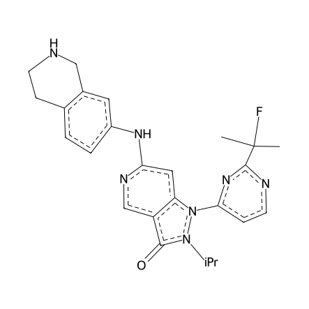 CC(C)n1c(=O)c2cnc(Nc3ccc4c(c3)CNCC4)cc2n1-c1ccnc(C(C)(C)F)n1